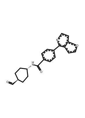 O=C[C@H]1CC[C@H](NC(=O)c2ccc(-c3nccc4occc34)cc2)CC1